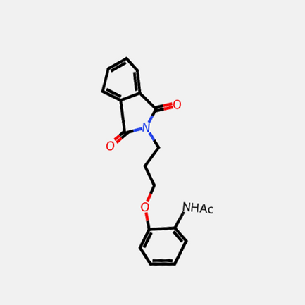 CC(=O)Nc1ccccc1OCCCN1C(=O)c2ccccc2C1=O